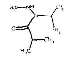 CNN(C(=O)C(C)C)C(C)C